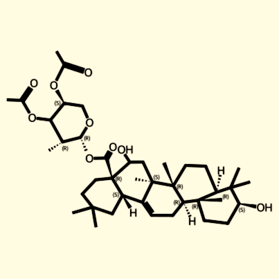 CC(=O)OC1[C@@H](OC(C)=O)CO[C@H](OC(=O)[C@]23CCC(C)(C)C[C@H]2C2=CC[C@@H]4[C@@]5(C)CC[C@H](O)C(C)(C)[C@@H]5CC[C@@]4(C)[C@]2(C)CC3O)[C@@H]1C